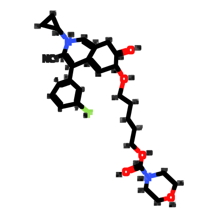 N#CC1=C(c2cccc(F)c2)C2=CC(OCCCCCOC(=O)N3CCOCC3)C(=O)CC2=CN1C1CC1